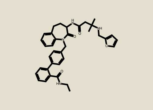 CCNC(=O)c1ccccc1-c1ccc(CN2C(=O)C(NC(=O)CC(C)(C)NCc3ccco3)CCc3ccccc32)cc1